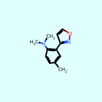 [CH2]c1ccc(N(C)C)c(-c2ccon2)c1